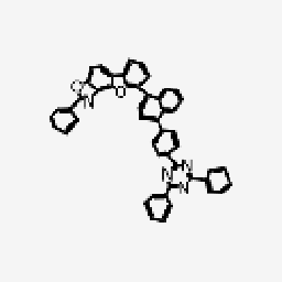 c1ccc(-c2nc(-c3ccccc3)nc(-c3ccc(-c4ccc(-c5cccc6c5oc5c6ccc6oc(-c7ccccc7)nc65)c5ccccc45)cc3)n2)cc1